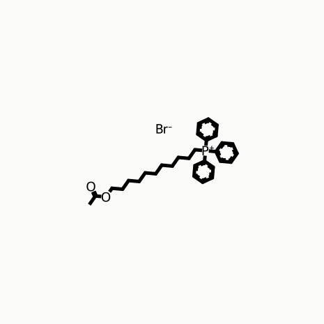 CC(=O)OCCCCCCCCCCC[P+](c1ccccc1)(c1ccccc1)c1ccccc1.[Br-]